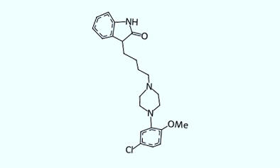 COc1ccc(Cl)cc1N1CCN(CCCCC2C(=O)Nc3ccccc32)CC1